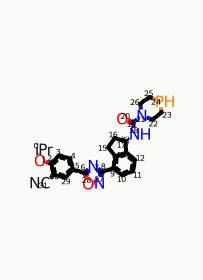 CC(C)Oc1ccc(-c2nc(-c3cccc4c3CC[C@@H]4NC(=O)N3CCPCC3)no2)cc1C#N